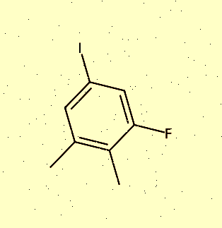 Cc1cc(I)cc(F)c1C